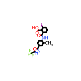 Cc1cc(-c2nnc(C(F)(F)F)o2)ccc1NC(=O)c1cccc(I)c1C(=O)O